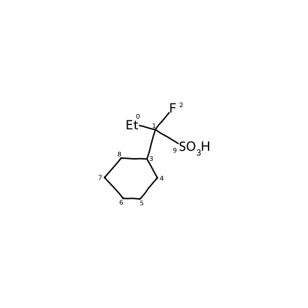 CCC(F)(C1CCCCC1)S(=O)(=O)O